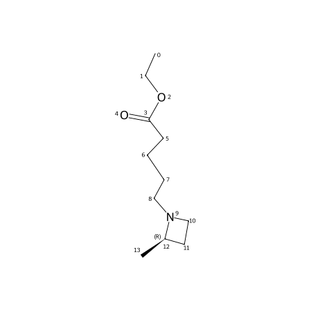 CCOC(=O)CCCCN1CC[C@H]1C